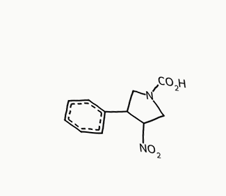 O=C(O)N1CC(c2ccccc2)C([N+](=O)[O-])C1